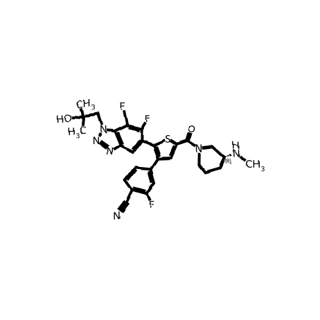 CN[C@@H]1CCCN(C(=O)c2cc(-c3ccc(C#N)c(F)c3)c(-c3cc4nnn(CC(C)(C)O)c4c(F)c3F)s2)C1